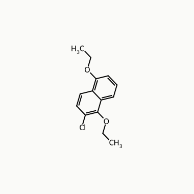 CCOc1cccc2c(OCC)c(Cl)ccc12